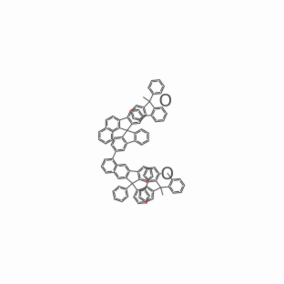 CC1(c2ccccc2)c2ccccc2Oc2cccc(-c3ccc4c(c3)C3(c5ccccc5-c5cc(-c6cccc7cc8c(cc67)-c6ccccc6C8(c6ccccc6)c6ccccc6-c6cccc7c6C(C)(c6ccccc6)c6ccccc6O7)ccc53)c3c-4ccc4ccccc34)c21